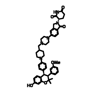 COc1cccc(C2[C@H](c3ccc(N4CCC(CN5CCN(c6ccc7c(c6)CN([C@H]6CCC(=O)NC6=O)C7=O)CC5)CC4)cc3)c3ccc(O)cc3OC2(C)C)c1